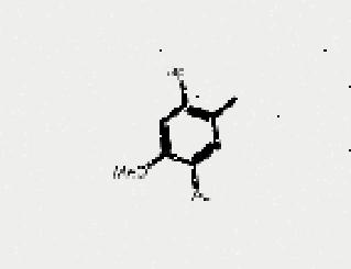 COc1cc([18F])c(C)cc1C(C)=O